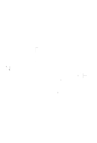 CC(=O)C=CC(F)C#N